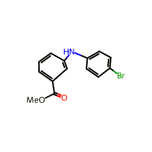 COC(=O)c1cccc(Nc2ccc(Br)cc2)c1